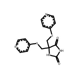 O=C1NC(=O)C(CSc2ccncc2)(CSc2ccncc2)N1